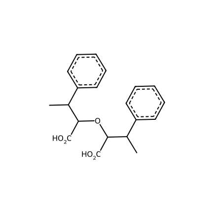 CC(c1ccccc1)C(OC(C(=O)O)C(C)c1ccccc1)C(=O)O